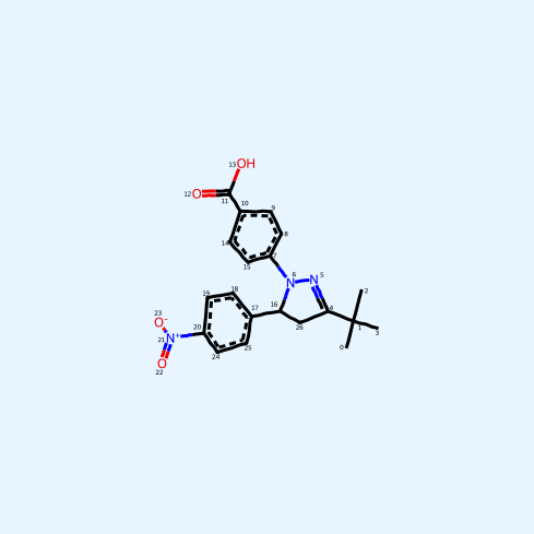 CC(C)(C)C1=NN(c2ccc(C(=O)O)cc2)C(c2ccc([N+](=O)[O-])cc2)C1